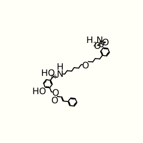 NS(=O)(=O)c1cccc(CCCCOCCCCCCNC[C@H](O)c2ccc(O)c(COC(=O)C=Cc3ccccc3)c2)c1